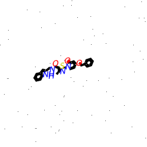 Cc1nc(-n2ccc(OCc3ccccc3)cc2=O)sc1C(=O)NCc1cc2ccccc2[nH]1